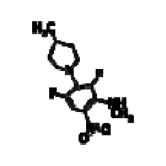 CNc1c([N+](=O)[O-])cc(F)c(N2CCC(C)CC2)c1F